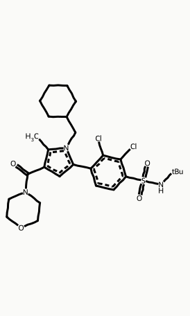 Cc1c(C(=O)N2CCOCC2)cc(-c2ccc(S(=O)(=O)NC(C)(C)C)c(Cl)c2Cl)n1CC1CCCCC1